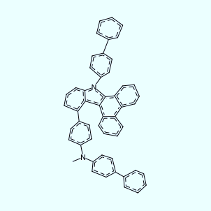 CN(c1ccc(-c2ccccc2)cc1)c1ccc(-c2cccc3c2c2c4ccccc4c4ccccc4c2n3-c2ccc(-c3ccccc3)cc2)cc1